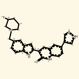 O=c1[nH]c2ccc(-c3cn[nH]c3)cc2cc1-c1cc2cc(CN3CCCC(F)C3)ccc2[nH]1